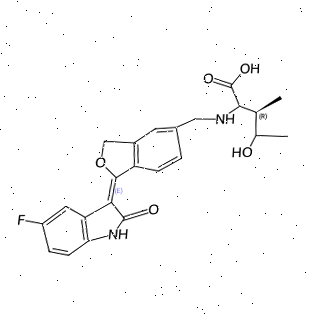 CC(O)[C@H](C)C(NCc1ccc2c(c1)CO/C2=C1/C(=O)Nc2ccc(F)cc21)C(=O)O